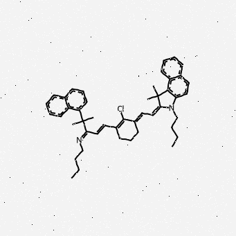 CCCC/N=C(\C=C\C1=C(Cl)C(=C/C=C2/N(CCCC)c3ccc4ccccc4c3C2(C)C)/CCC1)C(C)(C)c1cccc2ccccc12